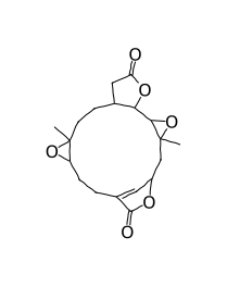 CC12CCC3CC(=O)OC3C3OC3(C)CC3C=C(CCC1O2)C(=O)O3